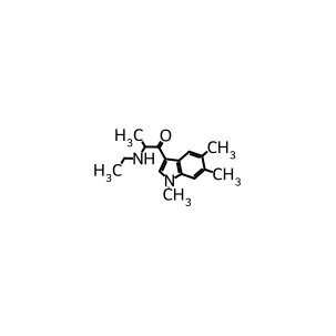 CCNC(C)C(=O)c1cn(C)c2cc(C)c(C)cc12